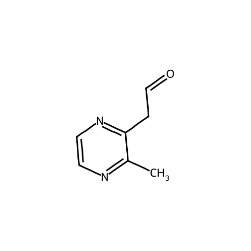 Cc1nccnc1CC=O